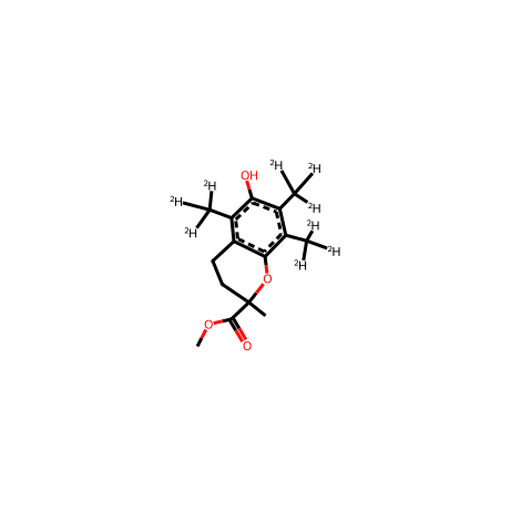 [2H]C([2H])([2H])c1c(O)c(C([2H])([2H])[2H])c(C([2H])([2H])[2H])c2c1CCC(C)(C(=O)OC)O2